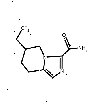 NC(=O)c1ncc2n1CC(CC(F)(F)F)CC2